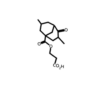 CC1CC2CC(C(=O)OCCC(=O)O)(C1)CC(C)C2=O